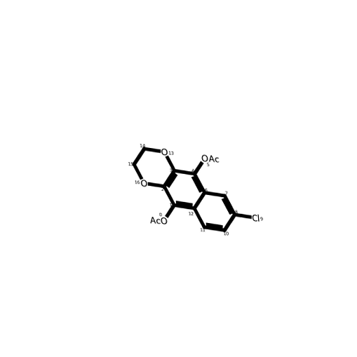 CC(=O)Oc1c2c(c(OC(C)=O)c3cc(Cl)ccc13)OCCO2